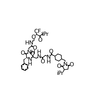 CC(C)C(=O)C(OCNC(=O)CNC(=O)[C@H](Cc1ccccc1)NC(=O)CNC(=O)CNC(=O)C1CCC(CN2C(=O)CC(C(C)C)C2=O)CC1)C(F)(F)F